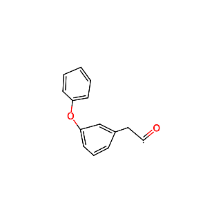 O=[C]Cc1cccc(Oc2ccccc2)c1